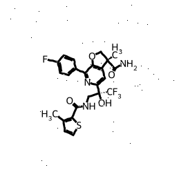 Cc1ccsc1C(=O)NC[C@](O)(c1cc2c(c(-c3ccc(F)cc3)n1)OC[C@]2(C)C(N)=O)C(F)(F)F